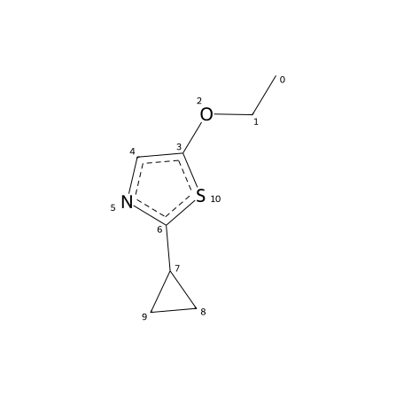 CCOc1cnc(C2CC2)s1